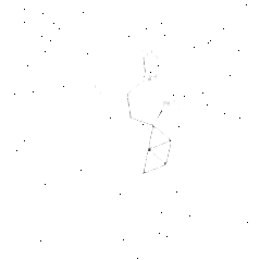 B[C@@]1(C[C@H](C)NC)C2C3CC321